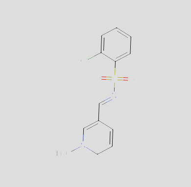 CN1C=C(C=NS(=O)(=O)c2ccccc2Cl)C=CC1